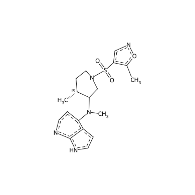 Cc1oncc1S(=O)(=O)N1CC[C@@H](C)C(N(C)c2ccnc3[nH]ccc23)C1